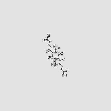 NC(CCC(=O)O)C(=O)C1NC(=O)C(C(=O)C(N)CCC(=O)O)NC1=O